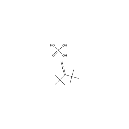 C=C=C(C(C)(C)C)C(C)(C)C.O=P(O)(O)O